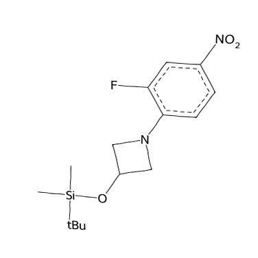 CC(C)(C)[Si](C)(C)OC1CN(c2ccc([N+](=O)[O-])cc2F)C1